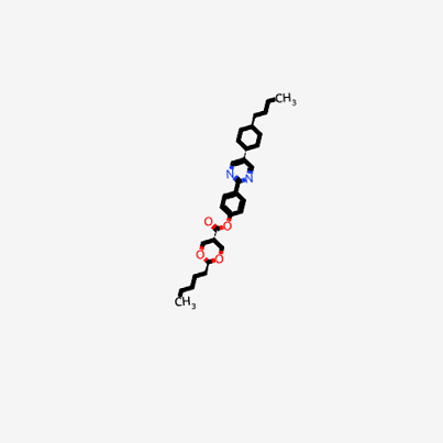 CCCCC[C@H]1OC[C@H](C(=O)Oc2ccc(-c3ncc([C@H]4CC[C@H](CCCC)CC4)cn3)cc2)CO1